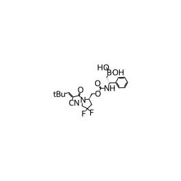 CC(C)(C)/C=C(\C#N)C(=O)N1CC(F)(F)C[C@@H]1COC(=O)N[C@H](CB(O)O)c1ccccc1